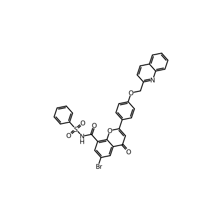 O=C(NS(=O)(=O)c1ccccc1)c1cc(Br)cc2c(=O)cc(-c3ccc(OCc4ccc5ccccc5n4)cc3)oc12